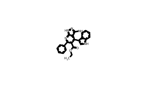 CCOC(=O)c1c(-c2ccccc2)nc2[nH]nc(N)c2c1-c1c[nH]c2ccccc12